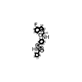 C[C@H](C(=O)Nc1ccc(S(=O)(=O)NC(=O)C2CCCC2)cc1)n1ccc2c(F)cccc21